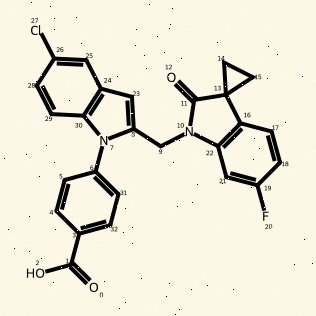 O=C(O)c1ccc(-n2c(CN3C(=O)C4(CC4)c4ccc(F)cc43)cc3cc(Cl)ccc32)cc1